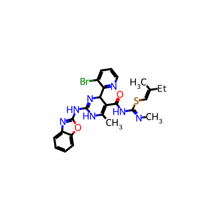 CC/C(C)=C/S/C(=N\C)NC(=O)C1=C(C)NC(Nc2nc3ccccc3o2)=NC1c1ncccc1Br